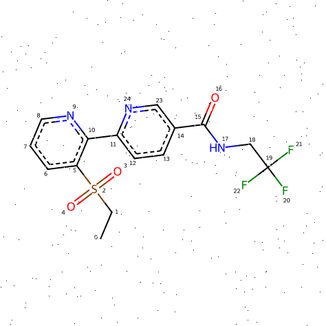 CCS(=O)(=O)c1cccnc1-c1ccc(C(=O)NCC(F)(F)F)cn1